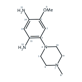 COc1cc(N2CCN(C)CC2)c(N)cc1N